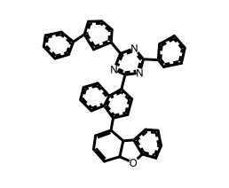 C1=CC2Oc3ccccc3C2C(c2ccc(-c3nc(-c4ccccc4)nc(-c4cccc(-c5ccccc5)c4)n3)c3ccccc23)=C1